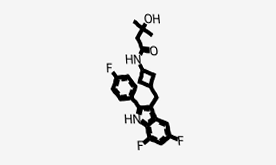 CC(C)(O)CC(=O)NC1CC(Cc2c(-c3ccc(F)cc3)[nH]c3c(F)cc(F)cc23)C1